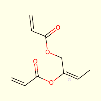 C=CC(=O)OC/C(=C\C)OC(=O)C=C